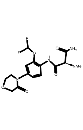 CN[C@H](C(N)=O)C(=O)Nc1ccc(N2CCOCC2=O)cc1OC(F)F